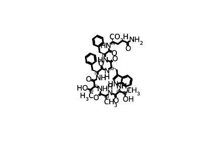 C[C@H](NC(=O)[C@@H](N)[C@@H](C)O)C(=O)N[C@H](C(=O)N[C@@H](Cc1ccccc1)C(=O)N[C@@H](Cc1c[nH]c2ccccc12)C(=O)N[C@@H](Cc1ccccc1)C(=O)N[C@@H](CCC(N)=O)C(=O)O)[C@@H](C)O